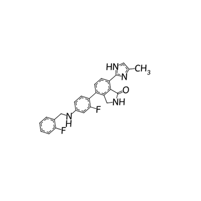 Cc1c[nH]c(-c2ccc(-c3ccc(NCc4ccccc4F)cc3F)c3c2C(=O)NC3)n1